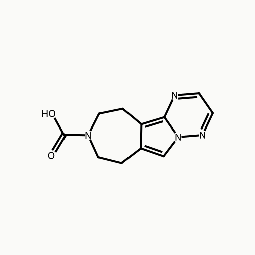 O=C(O)N1CCc2cn3nccnc3c2CC1